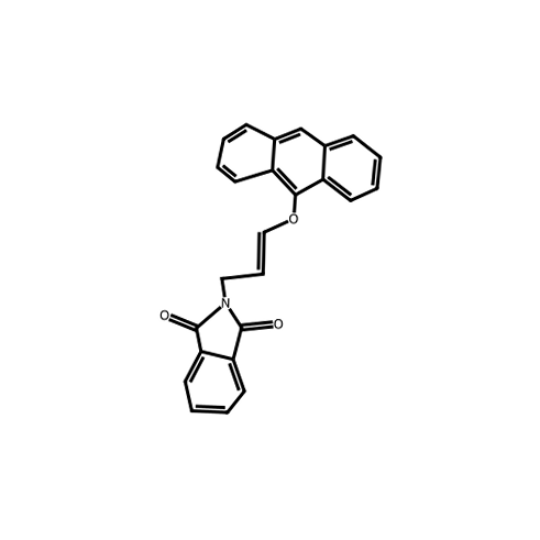 O=C1c2ccccc2C(=O)N1CC=COc1c2ccccc2cc2ccccc12